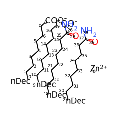 CCCCCCCCCCCCCCCCCC(=O)[O-].CCCCCCCCCCCCCCCCCC(=O)[O-].CCCCCCCCCCCCCCCCCC(N)=O.CCCCCCCCCCCCCCCCCC(N)=O.[Zn+2]